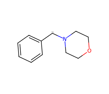 [C](c1ccccc1)N1CCOCC1